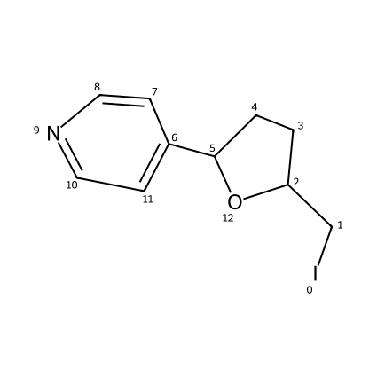 ICC1CCC(c2ccncc2)O1